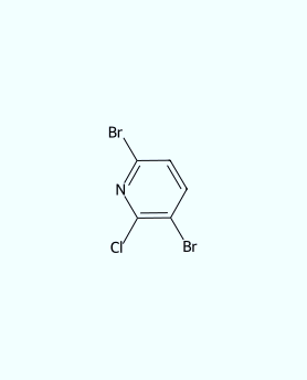 Clc1nc(Br)ccc1Br